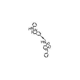 O=C(NCC#Cc1ccc2nc(Nc3ccccc3)ncc2c1)c1cccn(Cc2ccccc2)c1=O